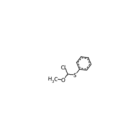 CO[C](Cl)Sc1ccccc1